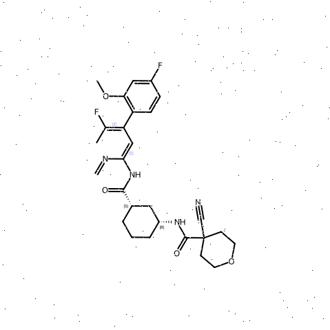 C=N/C(=C\C(=C(/C)F)c1ccc(F)cc1OC)NC(=O)[C@H]1CCC[C@@H](NC(=O)C2(C#N)CCOCC2)C1